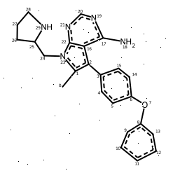 Cc1c(-c2ccc(Oc3ccccc3)cc2)c2c(N)ncnc2n1CC1CCCN1